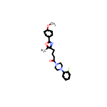 COc1ccc(-c2nc(CCCC(=O)N3CCN(c4ccccc4F)CC3)c(C)o2)cc1